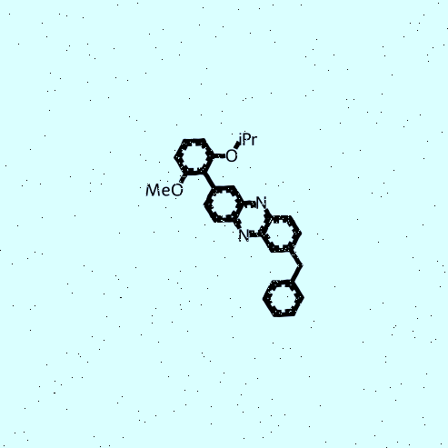 COc1cccc(OC(C)C)c1-c1ccc2nc3cc(Cc4ccccc4)ccc3nc2c1